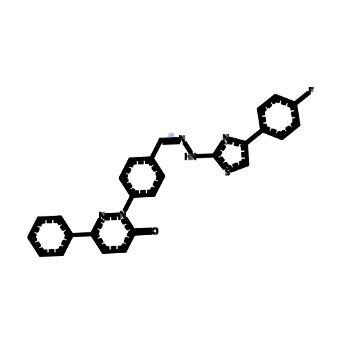 O=c1ccc(-c2ccccc2)nn1-c1ccc(/C=N\Nc2nc(-c3ccc(F)cc3)cs2)cc1